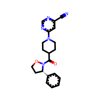 N#Cc1cc(N2CCC(C(=O)N3OCC[C@H]3c3ccccc3)CC2)ncn1